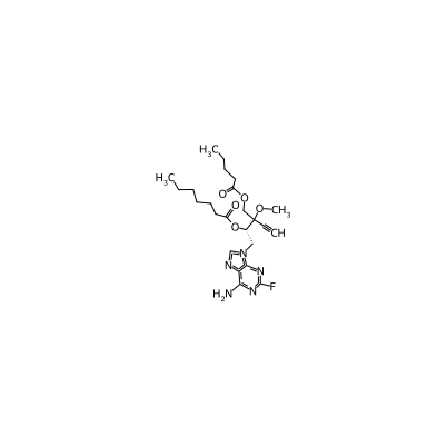 C#CC(COC(=O)CCCC)(OC)[C@H](Cn1cnc2c(N)nc(F)nc21)OC(=O)CCCCCC